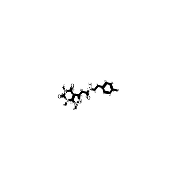 Cc1ccc(CCNC(=O)Cc2nn(C)c3c2c(=O)n(C)c(=O)n3C)cc1